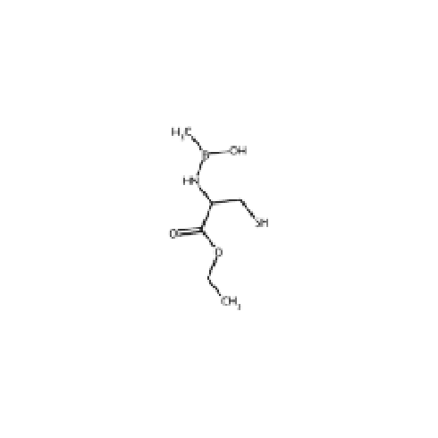 CCOC(=O)C(CS)NB(C)O